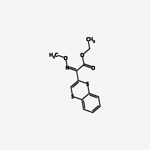 CCOC(=O)C(=NOC)C1=CSc2ccccc2S1